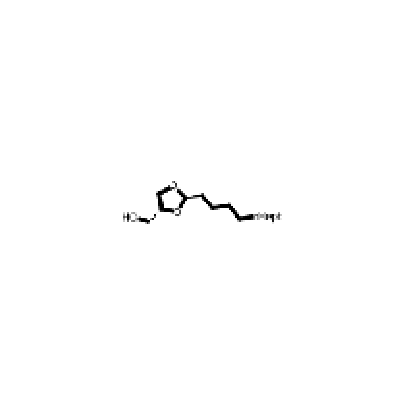 CCCCCCCCCCC[C@@H]1OC[C@@H](CO)O1